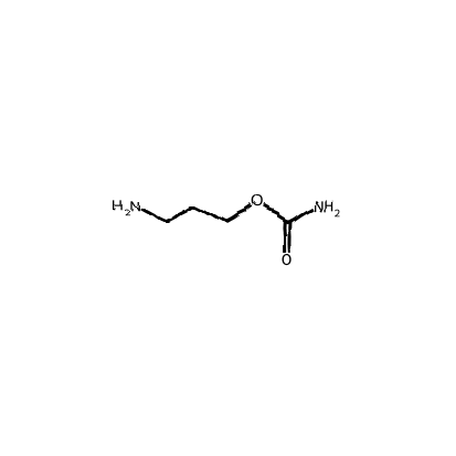 NCCCOC(N)=O